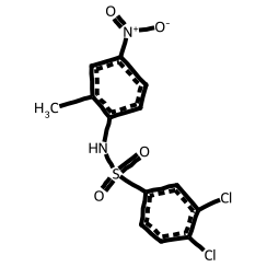 Cc1cc([N+](=O)[O-])ccc1NS(=O)(=O)c1ccc(Cl)c(Cl)c1